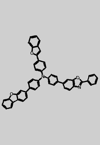 c1ccc(-c2nc3ccc(-c4ccc(N(c5ccc(-c6ccc7c(c6)oc6ccccc67)cc5)c5ccc(-c6cc7ccccc7o6)cc5)cc4)cc3o2)cc1